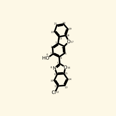 Oc1cc2c(cc1-c1nc3cc(Cl)ccc3o1)oc1ccccc12